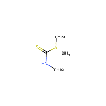 CCCCCCNC(=S)SCCCCCC.[BiH3]